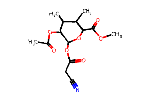 COC(=O)C1OC(OC(=O)CC#N)C(OC(C)=O)C(C)C1C